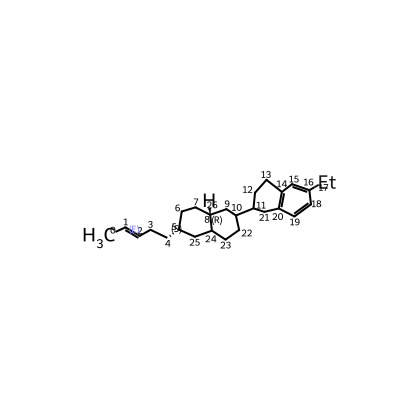 C/C=C/CC[C@@H]1CC[C@@H]2CC(C3CCc4cc(CC)ccc4C3)CCC2C1